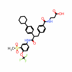 CS(=O)(=O)c1cc(NC(=O)C(Cc2ccc(C(=O)NCCC(=O)O)cc2)c2ccc(C3CCCCC3)cc2)ccc1OC(F)(F)F